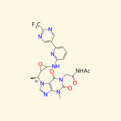 CC(=O)NC(=O)Cn1c(=O)c2c(ncn2[C@@H](C)C2OC2Nc2cccc(-c3cnc(C(F)(F)F)nc3)n2)n(C)c1=O